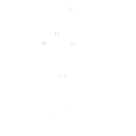 COC(=O)/C=C/CNc1ccc2ncnc(Nc3cccc(Br)c3)c2c1